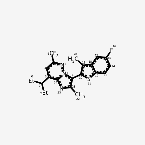 CCC(CC)c1cc(C(F)(F)F)nn2c(-c3sc4ccc(F)cc4c3C)c(C)nc12